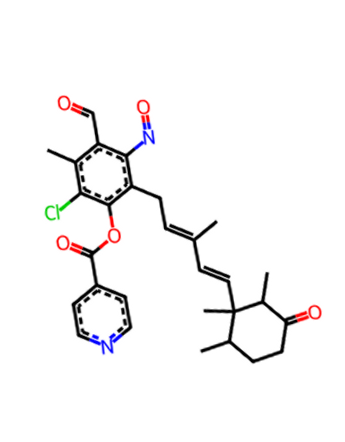 CC(/C=C/C1(C)C(C)CCC(=O)C1C)=C\Cc1c(N=O)c(C=O)c(C)c(Cl)c1OC(=O)c1ccncc1